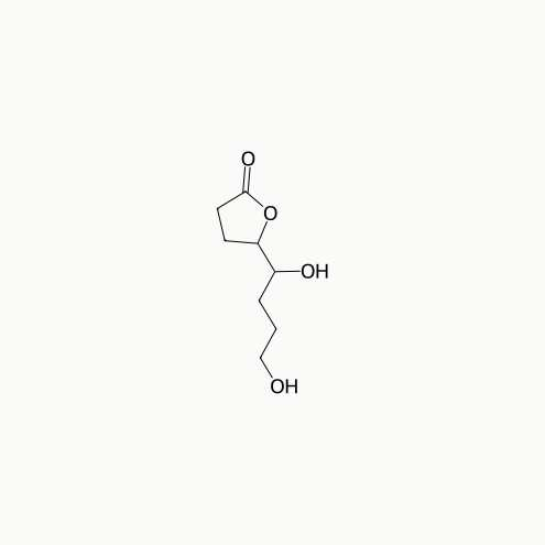 O=C1CCC(C(O)CCCO)O1